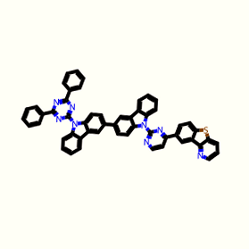 c1ccc(-c2nc(-c3ccccc3)nc(-n3c4ccccc4c4cc(-c5ccc6c(c5)c5ccccc5n6-c5nccc(-c6ccc7sc8cccnc8c7c6)n5)ccc43)n2)cc1